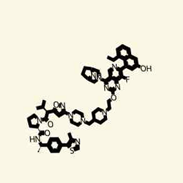 CCc1cccc2cc(O)cc(-c3ncc4c(N5CC6CCC(C5)N6)nc(OCCN5CCC(CN6CCN(c7cc([C@@H](C(=O)N8CCC[C@H]8C(=O)N[C@@H](C)c8ccc(-c9scnc9C)cc8)C(C)C)on7)CC6)CC5)nc4c3F)c12